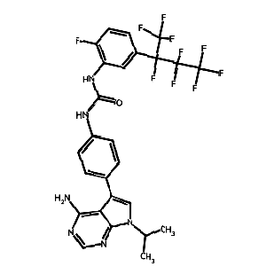 CC(C)n1cc(-c2ccc(NC(=O)Nc3cc(C(F)(C(F)(F)F)C(F)(F)C(F)(F)F)ccc3F)cc2)c2c(N)ncnc21